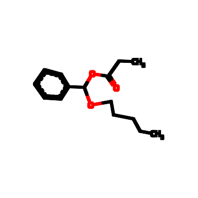 CCCCCOC(OC(=O)CC)c1ccccc1